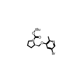 Cc1ncc(Br)cc1OC[C@H]1CCCN1C(=O)OC(C)(C)C